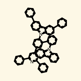 c1ccc(-c2ccc3c(c2)c2cc(-c4ccccc4)ccc2n3-c2ccc(-c3cc(-c4ccccc4)nc(-c4ccccc4)n3)cc2-c2ccccc2-n2c3ccccc3c3ccccc32)cc1